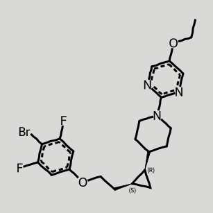 CCOc1cnc(N2CCC([C@H]3C[C@H]3CCOc3cc(F)c(Br)c(F)c3)CC2)nc1